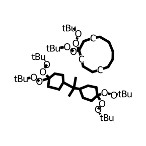 CC(C)(C)OOC1(OOC(C)(C)C)CCC(C(C)(C)C2CCC(OOC(C)(C)C)(OOC(C)(C)C)CC2)CC1.CC(C)(C)OOC1(OOC(C)(C)C)CCCCCCCCCCC1